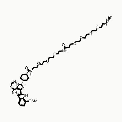 COc1cccc2cc(-c3nc([C@H]4CC[C@H](C(=O)NCCOCCOCCOCCNC(=O)CCOCCOCCOCCOCCN=[N+]=[N-])CC4)n4ncnc(N)c34)[nH]c12